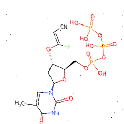 Cc1cn([C@H]2C[C@H](OC(F)=CC#N)[C@@H](COP(=O)(O)OP(=O)(O)OP(=O)(O)O)O2)c(=O)[nH]c1=O